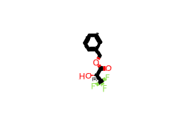 O=C(OCc1ccccc1)[C@@H](O)C(F)(F)F